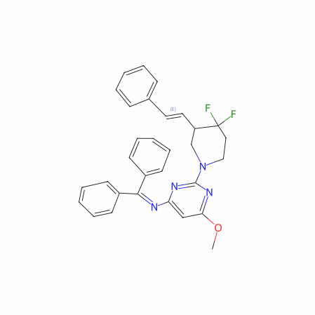 COc1cc(N=C(c2ccccc2)c2ccccc2)nc(N2CCC(F)(F)C(/C=C/c3ccccc3)C2)n1